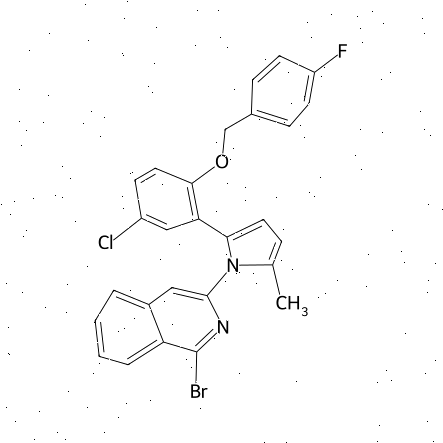 Cc1ccc(-c2cc(Cl)ccc2OCc2ccc(F)cc2)n1-c1cc2ccccc2c(Br)n1